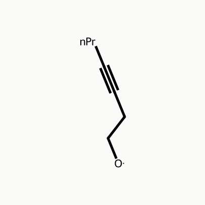 CCCC#CCC[O]